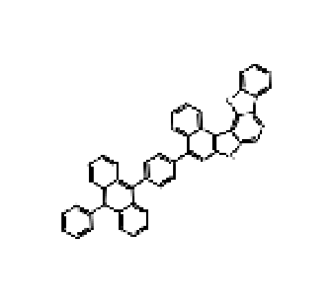 c1ccc(-c2c3ccccc3c(-c3ccc(-c4cc5sc6ccc7c8ccccc8oc7c6c5c5ccccc45)cc3)c3ccccc23)cc1